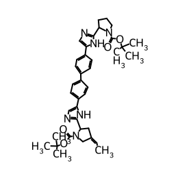 CC=C1CC(c2ncc(-c3ccc(-c4ccc(-c5cnc(C6CCCN6C(=O)OC(C)(C)C)[nH]5)cc4)cc3)[nH]2)N(C(=O)OC(C)(C)C)C1